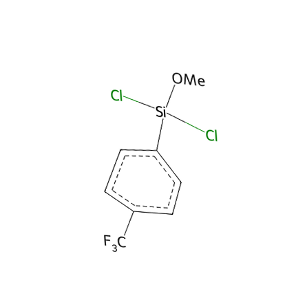 CO[Si](Cl)(Cl)c1ccc(C(F)(F)F)cc1